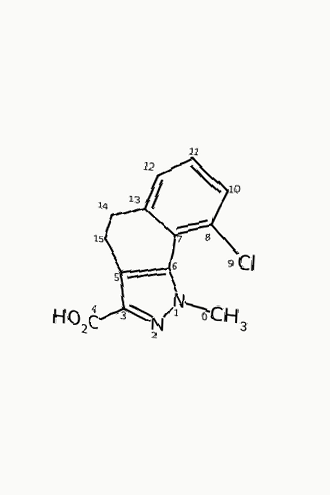 Cn1nc(C(=O)O)c2c1-c1c(Cl)cccc1CC2